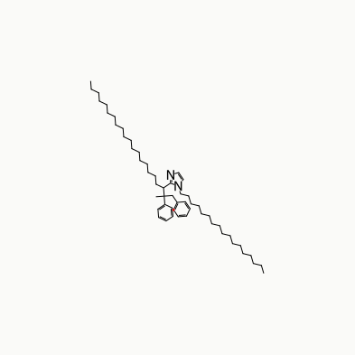 CCCCCCCCCCCCCCCCCCC(c1nccn1CCCCCCCCCCCCCCCCC)C(C)(Cc1ccccc1)c1ccccc1